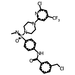 CN=S(=O)(c1ccc(NC(=O)c2cccc(CCl)c2)cc1)N1CCN(c2cc(C(F)(F)F)cc(Cl)n2)CC1